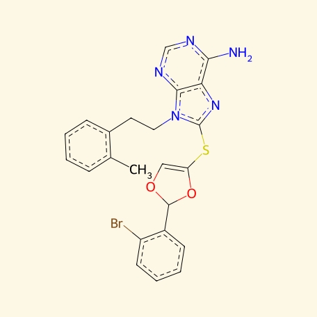 Cc1ccccc1CCn1c(SC2=COC(c3ccccc3Br)O2)nc2c(N)ncnc21